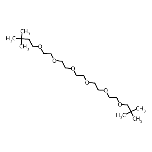 CC(C)(C)CCOCCOCCOCCOCCOCCOCC(C)(C)C